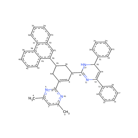 Cc1cc(C)nc(C2=CC(C3=NC(c4ccccc4)=CC(c4ccccc4)N3)CC(c3cc4ccccc4c4ccccc34)C2)n1